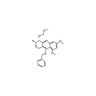 COCO[C@@H]1c2cc3cc(OC)cc(OC)c3c(OCc3ccccc3)c2CO[C@H]1C